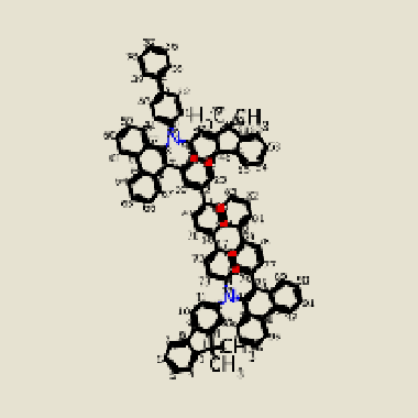 CC1(C)c2ccccc2-c2ccc(N(c3ccc(-c4ccc(-c5cccc(-c6c(N(c7ccc(-c8ccccc8)cc7)c7ccc8c(c7)C(C)(C)c7ccccc7-8)c7ccccc7c7ccccc67)c5)cc4)cc3)c3c(-c4ccc(-c5ccccc5)cc4)c4ccccc4c4ccccc34)cc21